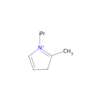 CC1=[N+](C(C)C)C=CC1